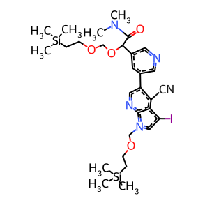 CN(C)C(=O)C(OCOCC[Si](C)(C)C)c1cncc(-c2cnc3c(c(I)cn3COCC[Si](C)(C)C)c2C#N)c1